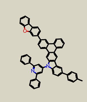 Cc1ccc(-c2ccc3c(c2)c2cc4c5ccccc5c5cc(-c6ccc7c(c6)oc6ccccc67)ccc5c4cc2n3-c2cc(-c3ccccc3)nc(-c3ccccc3)c2)cc1